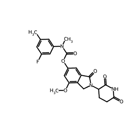 COc1cc(OC(=O)N(C)c2cc(C)cc(F)c2)cc2c1CN(C1CCC(=O)NC1=O)C2=O